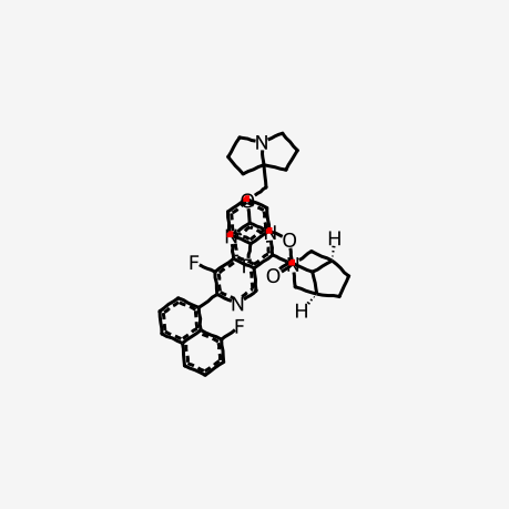 O=C(Oc1ccccc1F)C1[C@@H]2CC[C@H]1CN(c1nc(OCC34CCCN3CCC4)nc3c(F)c(-c4cccc5cccc(F)c45)ncc13)C2